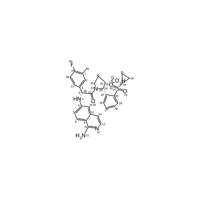 Cc1cc([C@@H](Nc2ccc3c(N)nccc3c2)C(=O)N2CC[C@H](C(=O)O)[C@@H]2c2ccccc2S(=O)(=O)C2CC2)ccc1F